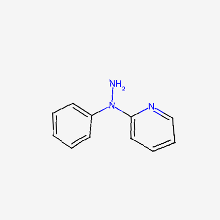 NN(c1ccccc1)c1ccccn1